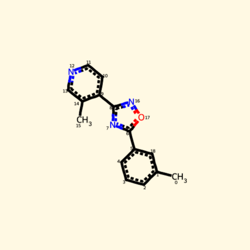 Cc1cccc(-c2nc(-c3ccncc3C)no2)c1